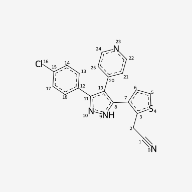 N#CCc1sccc1-c1[nH]nc(-c2ccc(Cl)cc2)c1-c1ccncc1